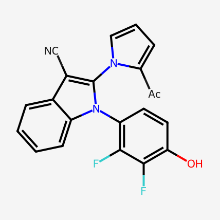 CC(=O)c1cccn1-c1c(C#N)c2ccccc2n1-c1ccc(O)c(F)c1F